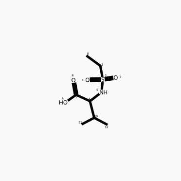 CCS(=O)(=O)NC(C(=O)O)C(C)C